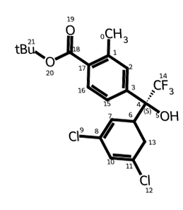 Cc1cc([C@@](O)(C2C=C(Cl)C=C(Cl)C2)C(F)(F)F)ccc1C(=O)OC(C)(C)C